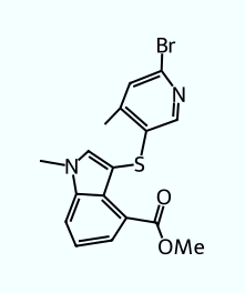 COC(=O)c1cccc2c1c(Sc1cnc(Br)cc1C)cn2C